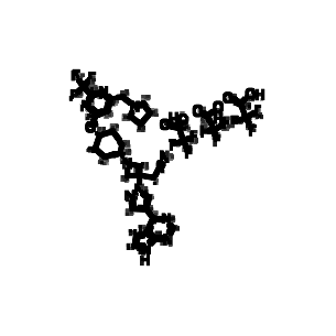 N#CCC1(n2cc(-c3ncnc4[nH]ccc34)cn2)CN([C@H]2CC[C@@H](Oc3cc(CN4CCCC4)nc(C(F)(F)F)n3)CC2)C1.O=C(O)C(F)(F)F.O=C(O)C(F)(F)F.O=C(O)C(F)(F)F